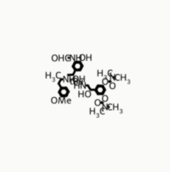 CN(C)C(=O)Oc1cc(OC(=O)N(C)C)cc(C(O)CNC(C)(C)C)c1.COc1ccc(C[C@@H](C)NC[C@H](O)c2ccc(O)c(NC=O)c2)cc1